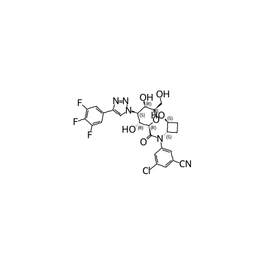 N#Cc1cc(Cl)cc(N(C(=O)[C@@H]2O[C@H](CO)[C@H](O)[C@H](n3cc(-c4cc(F)c(F)c(F)c4)nn3)[C@H]2O)[C@H]2CC[C@@H]2O)c1